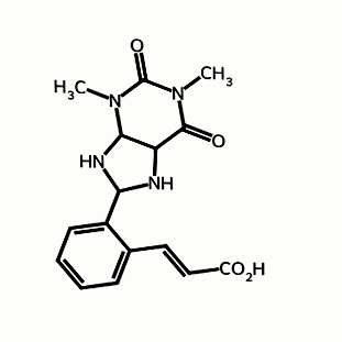 CN1C(=O)C2NC(c3ccccc3C=CC(=O)O)NC2N(C)C1=O